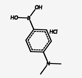 CN(C)c1ccc(B(O)O)cc1.Cl